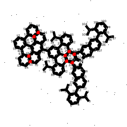 CC(C)c1cccc(C(C)C)c1-c1ccc2cc3c(cc2c1)c1cc(-c2c(-c4c(C(C)C)cccc4C(C)C)cc(-c4c5ccccc5c(-c5c(-c6ccccc6)cccc5-c5ccccc5)c5ccccc45)cc2-c2c(C(C)C)cccc2C(C)C)cc2c4cc5cc(-c6c(C(C)C)cccc6C(C)C)ccc5cc4n3c12